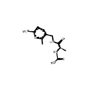 Cc1nc(N)ccc1CNC(=O)[C@@H](C)NC(=O)O